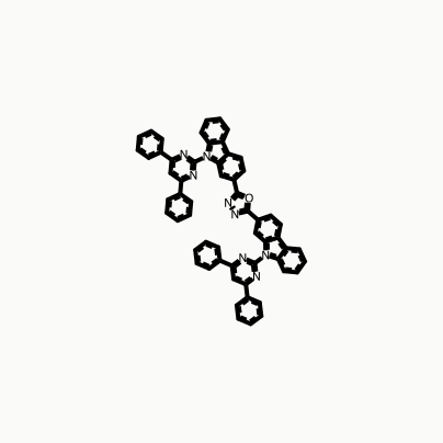 c1ccc(-c2cc(-c3ccccc3)nc(-n3c4ccccc4c4ccc(-c5nnc(-c6ccc7c8ccccc8n(-c8nc(-c9ccccc9)cc(-c9ccccc9)n8)c7c6)o5)cc43)n2)cc1